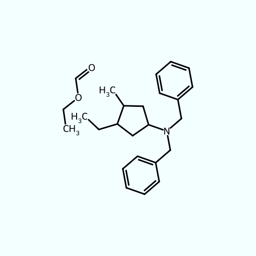 CCC1CC(N(Cc2ccccc2)Cc2ccccc2)CC1C.CCOC=O